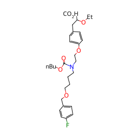 CCCCOC(=O)N(CCCCOCc1ccc(F)cc1)CCOc1ccc(CC(OCC)C(=O)O)cc1